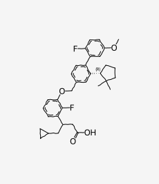 COc1ccc(F)c(-c2ccc(COc3cccc(C(CC(=O)O)CC4CC4)c3F)cc2[C@@H]2CCCC2(C)C)c1